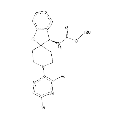 CC(=O)c1nc(Br)cnc1N1CCC2(CC1)Oc1ccccc1[C@H]2NC(=O)OC(C)(C)C